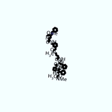 CN[C@@H](C)C(=O)NC(C(=O)N1CCC[C@H]1C(=O)Nc1sc(NC(=O)CCCN(C)C(=O)Cc2cccc(CNC(=O)c3cc(/C=C/C4CCCCC4)c(OC)cn3)c2)nc1-c1ccccc1)C1CCCCC1